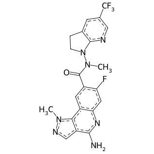 CN(C(=O)c1cc2c(cc1F)nc(N)c1cnn(C)c12)N1CCc2cc(C(F)(F)F)cnc21